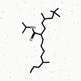 CCCC(C)CCCCC(CCC(C)CC(C)(C)C)C(=O)NC(C)C